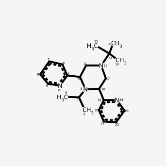 CC(C)N1C(c2ccccn2)CN(C(C)(C)C)CC1c1ccccn1